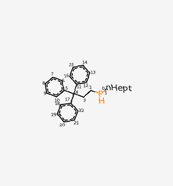 CCCCCCCPCCC(c1ccccc1)(c1ccccc1)c1ccccc1